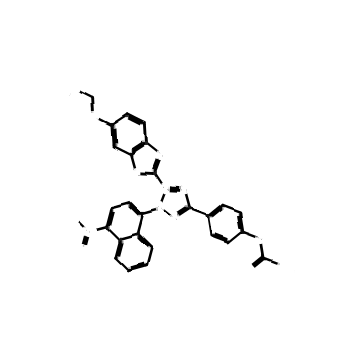 CCOc1ccc2nc(-[n+]3nc(-c4ccc(NC(C)=O)cc4)nn3-c3ccc([N+](=O)[O-])c4ccccc34)sc2c1